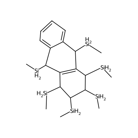 C[SiH2]C1C2=C(C([SiH2]C)c3ccccc31)C([SiH2]C)C([SiH2]C)C([SiH2]C)C2[SiH2]C